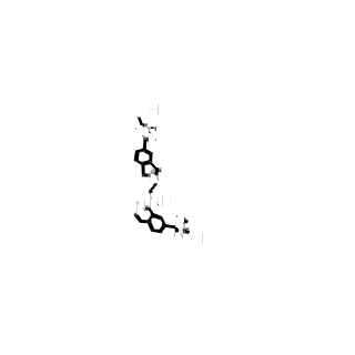 CCc1nc(-c2ccc3c(c2)C(=O)N(CCNc2nccc4ccc(-c5noc(C)n5)cc24)C3)no1